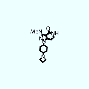 CNc1nn(C2CCC(N3CCC3)CC2)c2cc[nH]c(=O)c12